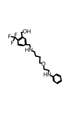 OCc1cc(CNCCCCOCCNc2ccccc2)ccc1C(F)(F)F